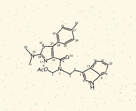 CC(=O)OCN(CCc1c[nH]c2ccccc12)C(=O)c1nc(N(C)C)sc1-c1ccc(C)cc1